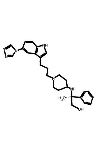 C[C@](CO)(NC1CCN(CCCc2c[nH]c3ccc(-n4cnnc4)cc23)CC1)c1ccccc1